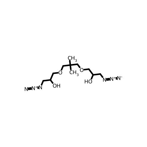 CC(C)(COCC(O)CN=[N+]=[N-])COCC(O)CN=[N+]=[N-]